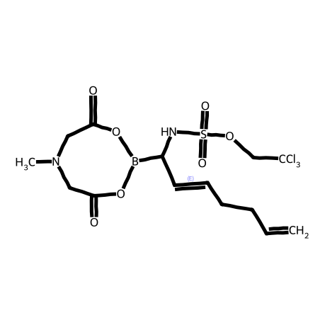 C=CCC/C=C/C(NS(=O)(=O)OCC(Cl)(Cl)Cl)B1OC(=O)CN(C)CC(=O)O1